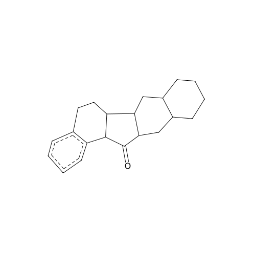 O=C1C2CC3CCCCC3CC2C2CCc3ccccc3C12